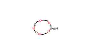 C1COCCOCCOCCOCCO1.[NaH]